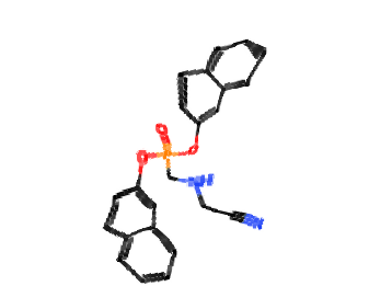 N#CCNCP(=O)(Oc1ccc2ccccc2c1)Oc1ccc2ccccc2c1